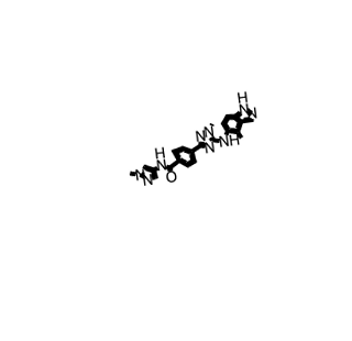 Cc1c(Nc2nc(-c3ccc(C(=O)Nc4cnn(C)c4)cc3)nn2C)ccc2[nH]ncc12